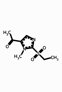 CCS(=O)(=O)c1ncc(C(C)=O)n1C